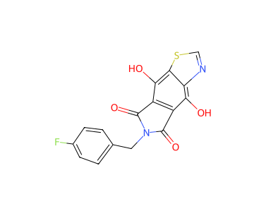 O=C1c2c(c(O)c3scnc3c2O)C(=O)N1Cc1ccc(F)cc1